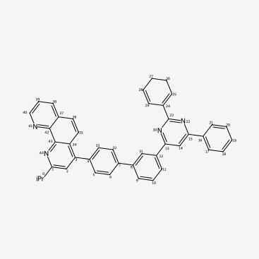 CC(C)c1cc(-c2ccc(-c3cccc(-c4cc(-c5ccccc5)nc(C5=CCCC=C5)n4)c3)cc2)c2ccc3cccnc3c2n1